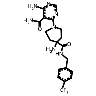 NC(=O)c1c(N)ncnc1N1CCC(N)(C(=O)NCc2ccc(C(F)(F)F)cc2)CC1